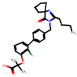 CCCCC1=NC2(CCCC2)C(=O)N1Cc1ccc(-c2cccc(OC(C)(C)C(=O)O)c2F)cc1